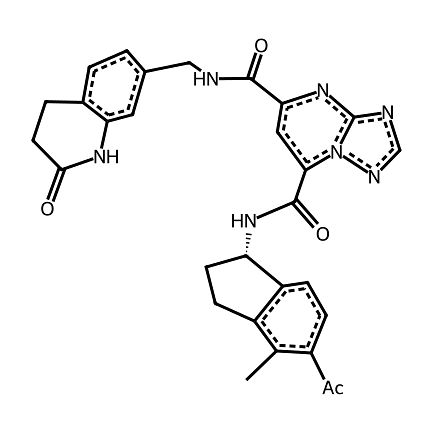 CC(=O)c1ccc2c(c1C)CC[C@@H]2NC(=O)c1cc(C(=O)NCc2ccc3c(c2)NC(=O)CC3)nc2ncnn12